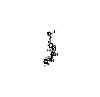 O=C(Cc1cc(Nc2ncnc3cc(OCCCN4CCC[C@H]4CO)ccc23)n[nH]1)Nc1cccc(F)c1F